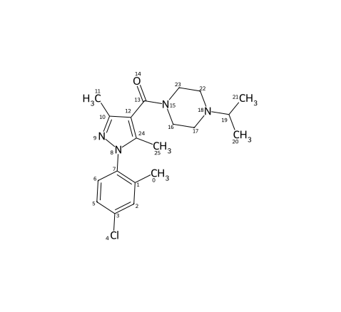 Cc1cc(Cl)ccc1-n1nc(C)c(C(=O)N2CCN(C(C)C)CC2)c1C